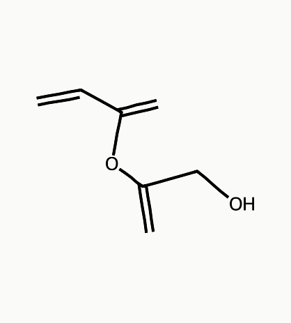 C=CC(=C)OC(=C)CO